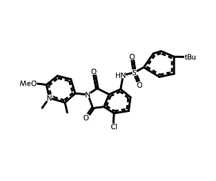 COc1ccc(N2C(=O)c3c(Cl)ccc(NS(=O)(=O)c4ccc(C(C)(C)C)cc4)c3C2=O)c(C)[n+]1C